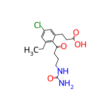 CCc1cc(Cl)cc(CCC(=O)O)c1C(=O)CCCNC(N)=O